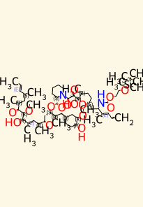 C=C/C=C(\C)C(C[C@@H]1CC[C@@H](C)[C@](O)(C(=O)C(=O)N2CCCC[C@H]2C(=O)O[C@@H](CC(=O)[C@H](C)/C=C(\C)[C@@H](O)[C@@H](OC)C(=O)[C@H](C)C[C@H](C)/C=C/C)[C@H](C)C[C@@H]2CC[C@@H](O)[C@H](OC)C2)O1)NC(=O)OCCO[Si](C)(C)C(C)(C)C